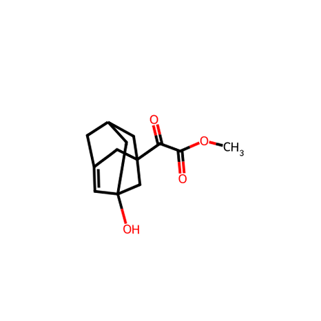 COC(=O)C(=O)C12CC3=CC(O)(CC(C3)C1)C2